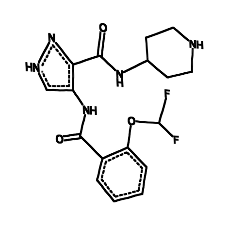 O=C(Nc1c[nH]nc1C(=O)NC1CCNCC1)c1ccccc1OC(F)F